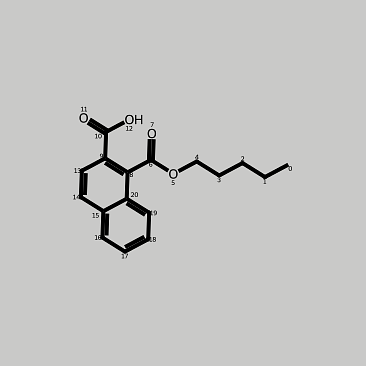 CCCCCOC(=O)c1c(C(=O)O)ccc2ccccc12